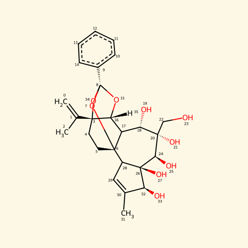 C=C(C)[C@]12CC[C@@]34O[C@](c5ccccc5)(O[C@@H]1C3[C@H](O)[C@@](O)(CO)[C@@H](O)[C@@]1(O)C4C=C(C)[C@@H]1O)O2